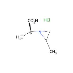 CC1CN1[C@@H](C)C(=O)O.Cl